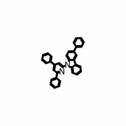 c1ccc(-c2cc(-c3ccccc3)nc(-n3c4ccccc4c4cc(-c5ccccc5)ccc43)c2)cc1